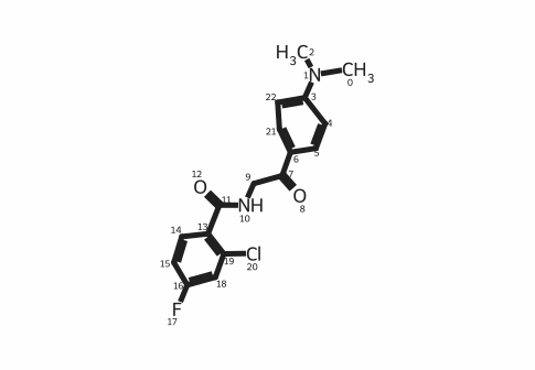 CN(C)c1ccc(C(=O)CNC(=O)c2ccc(F)cc2Cl)cc1